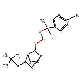 CCC(C)c1ccc(C(OCOC2CC3CC(CC(OC)(C(F)(F)F)C(F)(F)F)C2C3)(C(F)(F)F)C(F)(F)F)cc1